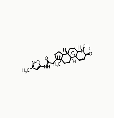 Cc1cc(NC(=O)C[C@H]2CC[C@H]3[C@@H]4CC[C@H]5N(C)C(=O)C=C[C@]5(C)[C@H]4CC[C@]23C)on1